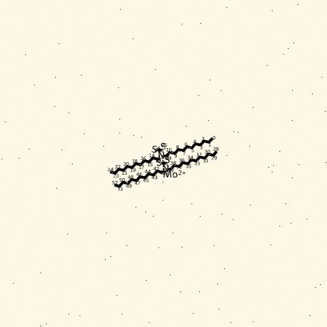 CCCCCCCCCCCCN(CCCCCCCCCCCC)C(=S)[S-].CCCCCCCCCCCCN(CCCCCCCCCCCC)C(=S)[S-].[Mo+2]